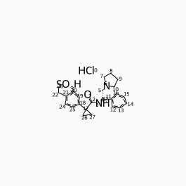 Cl.O=C(N[C@H](CN1CCCC1)c1ccccc1)C1(c2ccc(CS(=O)(=O)O)cc2)CC1